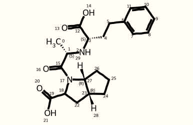 C[C@H](N[C@@H](CCc1ccccc1)C(=O)O)C(=O)N1C(C(=O)O)C[C@H]2CCC[C@H]21